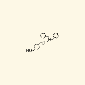 OC[C@H]1CC[C@H](COCCN(Cc2ccccc2)Cc2ccccc2)CC1